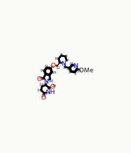 COc1ccc(CN2CCCC[C@@H]2COc2ccc3c(c2)CN(C2CCC(=O)NC2=O)C3=O)cn1